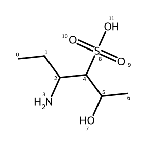 CCC(N)C(C(C)O)S(=O)(=O)O